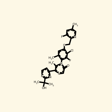 Cc1cnc(COc2cc(C)c(-n3c(C)c(-c4ccnc(C(C)(C)O)n4)ncc3=O)c(F)c2Cl)c(F)c1